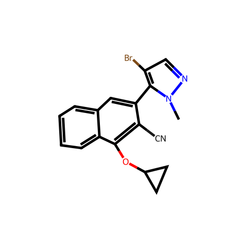 Cn1ncc(Br)c1-c1cc2ccccc2c(OC2CC2)c1C#N